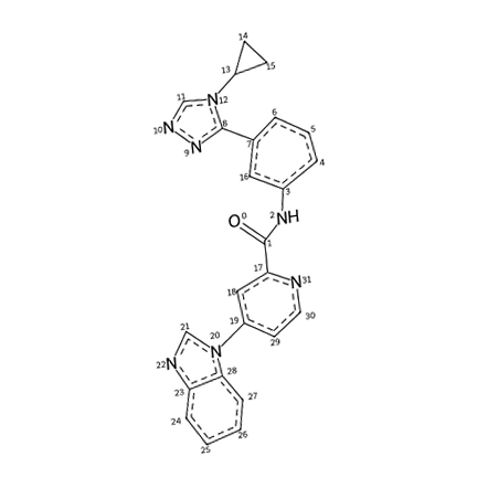 O=C(Nc1cccc(-c2nncn2C2CC2)c1)c1cc(-n2cnc3ccccc32)ccn1